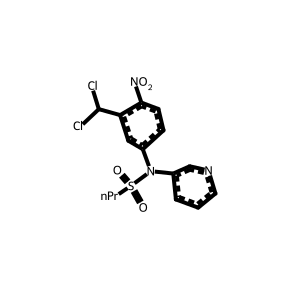 CCCS(=O)(=O)N(c1cccnc1)c1ccc([N+](=O)[O-])c(C(Cl)Cl)c1